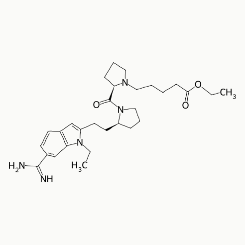 CCOC(=O)CCCCN1CCC[C@@H]1C(=O)N1CCC[C@H]1CCc1cc2ccc(C(=N)N)cc2n1CC